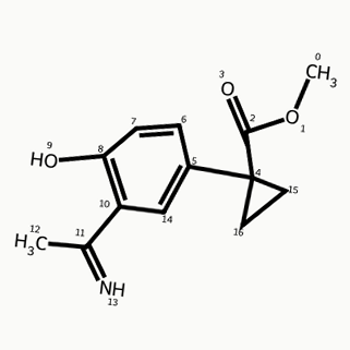 COC(=O)C1(c2ccc(O)c(C(C)=N)c2)CC1